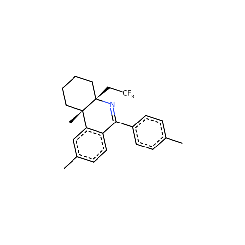 Cc1ccc(C2=N[C@@]3(CC(F)(F)F)CCCC[C@@]3(C)c3cc(C)ccc32)cc1